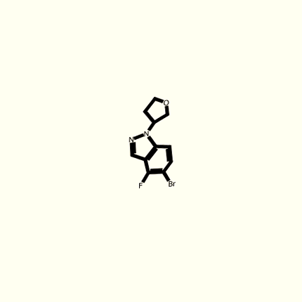 Fc1c(Br)ccc2c1cnn2C1CCOC1